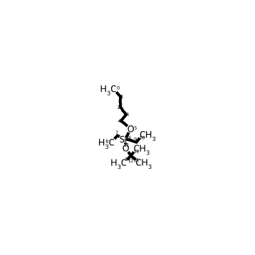 CCCCCO[Si](CC)(CC)OC(C)(C)C